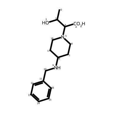 CC(O)C(C(=O)O)N1CCC(NCc2ccccc2)CC1